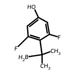 BC(C)(C)c1c(F)cc(O)cc1F